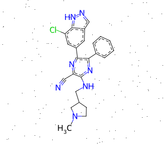 CN1CCC(CNc2nc(-c3ccccc3)c(-c3cc(Cl)c4[nH]ncc4c3)nc2C#N)C1